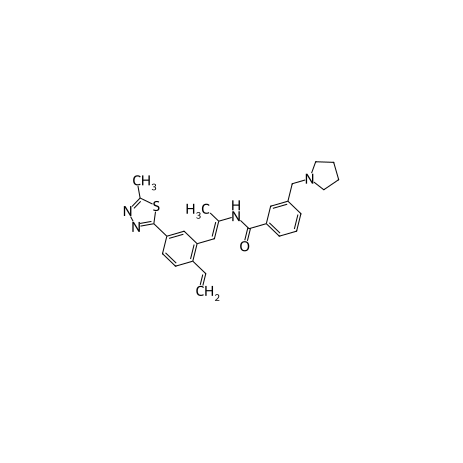 C=Cc1ccc(-c2nnc(C)s2)cc1/C=C(\C)NC(=O)c1cccc(CN2CCCC2)c1